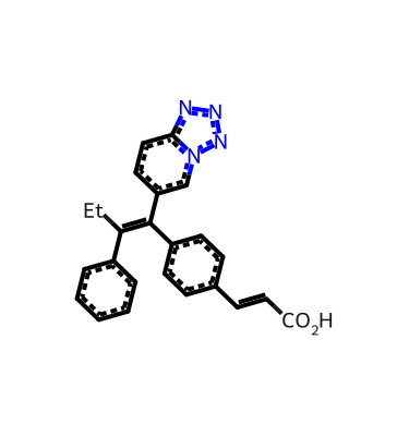 CC/C(=C(/c1ccc(/C=C/C(=O)O)cc1)c1ccc2nnnn2c1)c1ccccc1